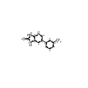 O=c1[nH]c2cc(-c3cccc(C(F)(F)F)c3)cnc2[nH]1